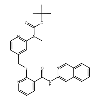 CN(C(=O)OC(C)(C)C)c1cc(CSc2ncccc2C(=O)Nc2cc3ccccc3cn2)ccn1